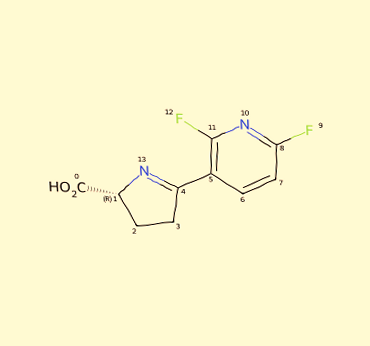 O=C(O)[C@H]1CCC(c2ccc(F)nc2F)=N1